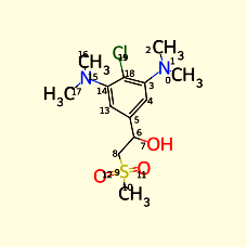 CN(C)c1cc(C(O)CS(C)(=O)=O)cc(N(C)C)c1Cl